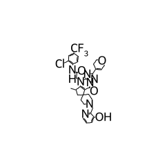 CC1CC2(CCN(Cc3ncccc3O)CC2)c2c1n(CC(=O)Nc1ccc(C(F)(F)F)cc1Cl)c1nc(C3=CCOCC3)nn1c2=O